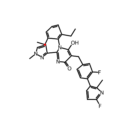 CCc1cccc(CC)c1-n1c(-c2ccn(C)n2)nc(=O)c(Cc2ccc(-c3ccc(F)nc3C)c(F)c2)c1O